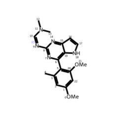 COc1cc(C)c(-c2nc(/N=C\N(C)C)nc3cc[nH]c23)c(OC)c1